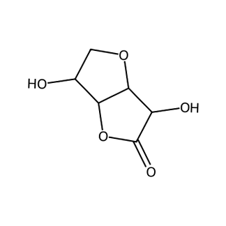 O=C1OC2C(O)COC2C1O